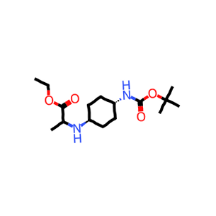 CCOC(=O)C(C)N[C@H]1CC[C@H](NC(=O)OC(C)(C)C)CC1